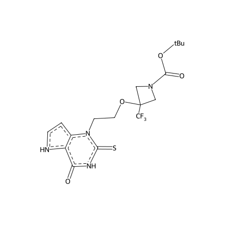 CC(C)(C)OC(=O)N1CC(OCCn2c(=S)[nH]c(=O)c3[nH]ccc32)(C(F)(F)F)C1